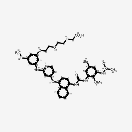 COc1c(NC(=O)Nc2ccc(Oc3ccnc(Nc4cc(OCCOCCOCC(=O)O)cc(OC(F)(F)F)c4)c3)c3ccccc23)cc(C(C)(C)C)cc1N[S+](C)[O-]